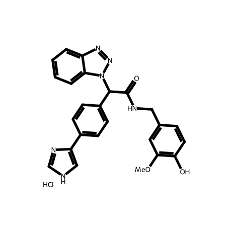 COc1cc(CNC(=O)C(c2ccc(-c3c[nH]cn3)cc2)n2nnc3ccccc32)ccc1O.Cl